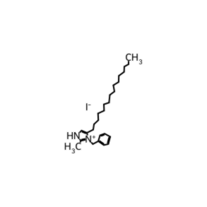 CCCCCCCCCCCCCCCCc1c[nH]c(C)[n+]1Cc1ccccc1.[I-]